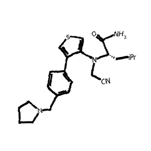 CC(C)C[C@@H](C(N)=O)N(CC#N)c1cscc1-c1ccc(CN2CCCC2)cc1